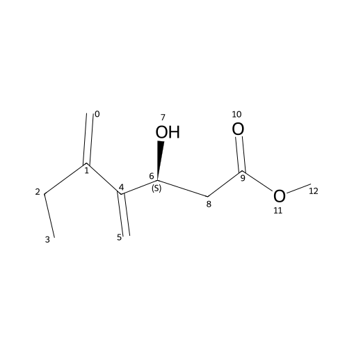 C=C(CC)C(=C)[C@@H](O)CC(=O)OC